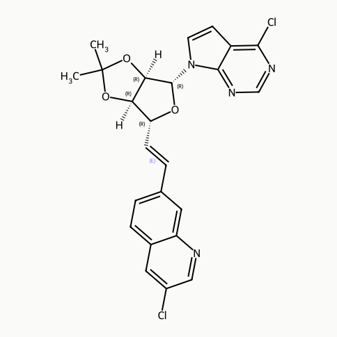 CC1(C)O[C@@H]2[C@H](O1)[C@@H](/C=C/c1ccc3cc(Cl)cnc3c1)O[C@H]2n1ccc2c(Cl)ncnc21